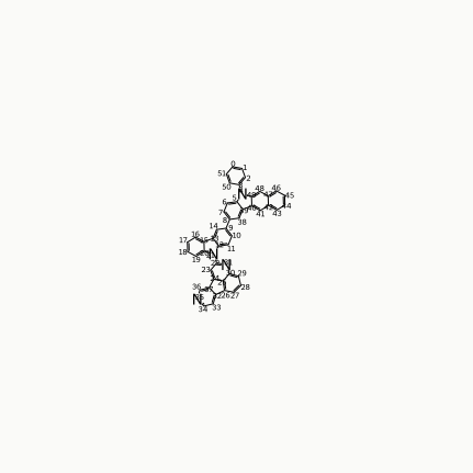 c1ccc(-n2c3ccc(-c4ccc5c(c4)c4ccccc4n5-c4cc5c6c(cccc6n4)-c4ccncc4-5)cc3c3cc4ccccc4cc32)cc1